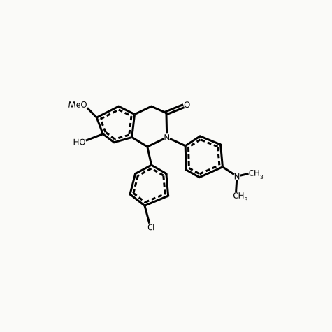 COc1cc2c(cc1O)C(c1ccc(Cl)cc1)N(c1ccc(N(C)C)cc1)C(=O)C2